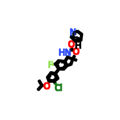 CC(C)Oc1ccc(-c2cc3c(cc2F)C(NC(=O)O[C@H]2CN4CCC2CC4)C(C)(C)C3)cc1Cl